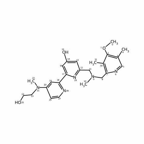 COc1c(C)cnc(CN(C)Cc2cc(O)cc(-c3cc(N(C)CCO)ccn3)n2)c1C